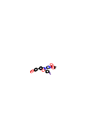 COc1ccc(-c2ccc(CN(C(=O)c3ccc(I)cc3)C3CCN(C(=O)OC(C)(C)C)CC3)cc2)cc1